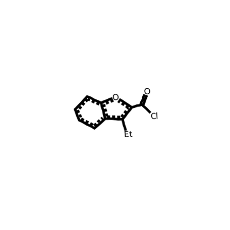 CCc1c(C(=O)Cl)oc2ccccc12